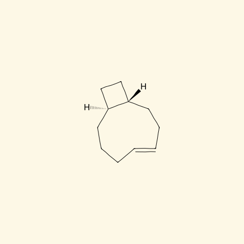 C1=C/CC[C@H]2CC[C@@H]2CCC/1